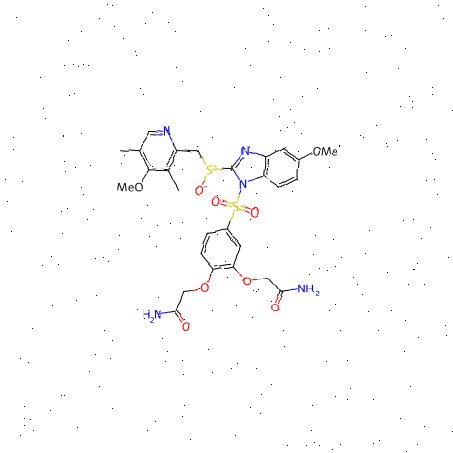 COc1ccc2c(c1)nc([S+]([O-])Cc1ncc(C)c(OC)c1C)n2S(=O)(=O)c1ccc(OCC(N)=O)c(OCC(N)=O)c1